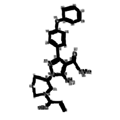 C=CC(CCCC)N1CCCC(n2nc(-c3ccc(Oc4ccccc4)cc3)c(C(=O)NC)c2N)C1